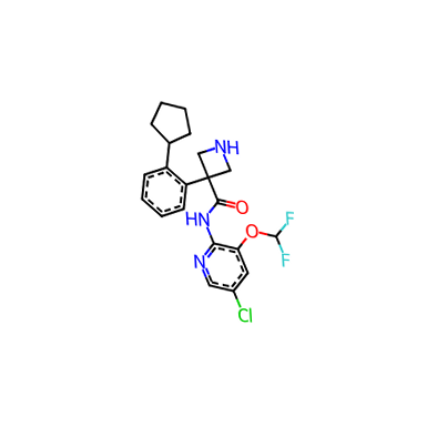 O=C(Nc1ncc(Cl)cc1OC(F)F)C1(c2ccccc2C2CCCC2)CNC1